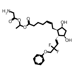 CC(OC(=O)CN)OC(=O)CCC/C=C\C[C@@H]1[C@@H](/C=C/C(F)(F)COc2ccccc2)[C@H](O)C[C@@H]1O